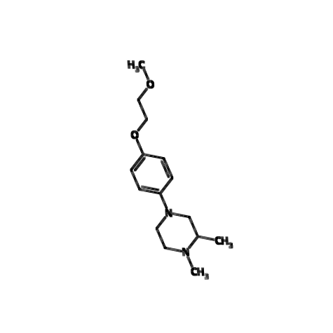 COCCOc1ccc(N2CCN(C)C(C)C2)cc1